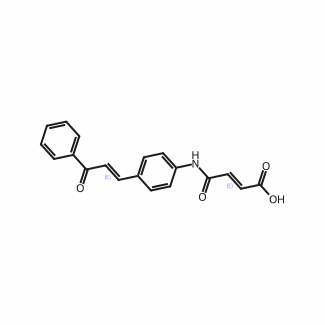 O=C(O)/C=C/C(=O)Nc1ccc(/C=C/C(=O)c2ccccc2)cc1